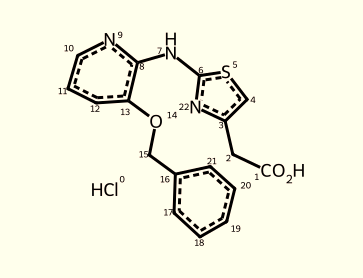 Cl.O=C(O)Cc1csc(Nc2ncccc2OCc2ccccc2)n1